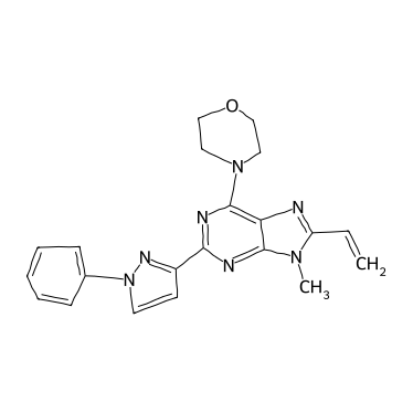 C=Cc1nc2c(N3CCOCC3)nc(-c3ccn(-c4ccccc4)n3)nc2n1C